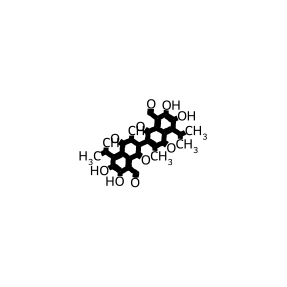 CC1=C(C2C(=O)c3c(C=O)c(O)c(O)c(C(C)C)c3C(=O)C2C)C(=O)c2c(C=O)c(O)c(O)c(C(C)C)c2C1=O